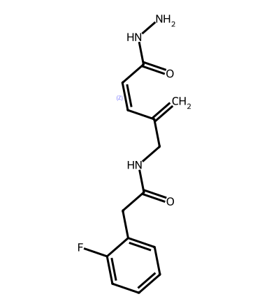 C=C(/C=C\C(=O)NN)CNC(=O)Cc1ccccc1F